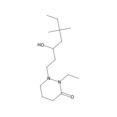 CCN1C(=O)CCCN1CCC(O)CC(C)(C)CC